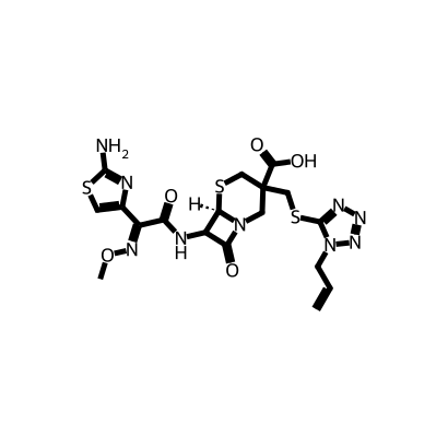 C=CCn1nnnc1SCC1(C(=O)O)CS[C@@H]2C(NC(=O)C(=NOC)c3csc(N)n3)C(=O)N2C1